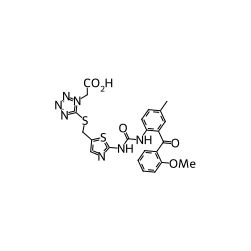 COc1ccccc1C(=O)c1cc(C)ccc1NC(=O)Nc1ncc(CSc2nnnn2CC(=O)O)s1